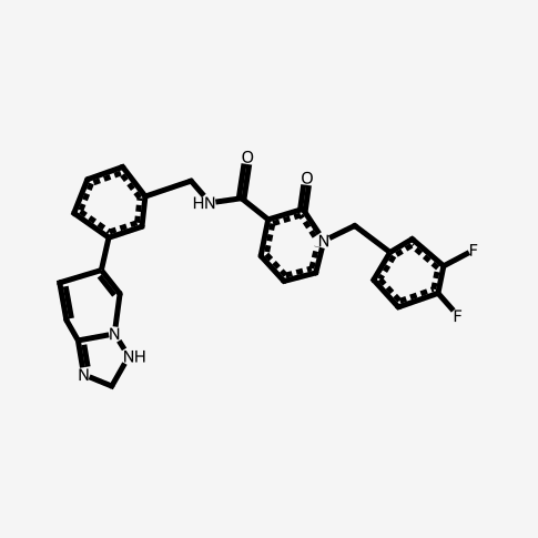 O=C(NCc1cccc(C2=CN3NCN=C3C=C2)c1)c1cccn(Cc2ccc(F)c(F)c2)c1=O